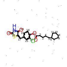 O=C(CCCCC1CCCCC1)Oc1ccc(C=C2SC(=O)NC2=O)cc1Cl